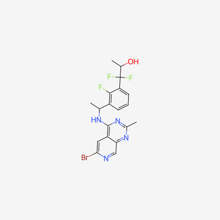 Cc1nc(NC(C)c2cccc(C(F)(F)C(C)O)c2F)c2cc(Br)ncc2n1